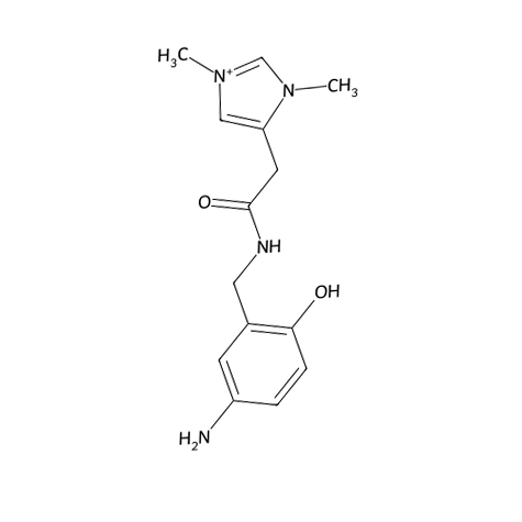 Cn1c[n+](C)cc1CC(=O)NCc1cc(N)ccc1O